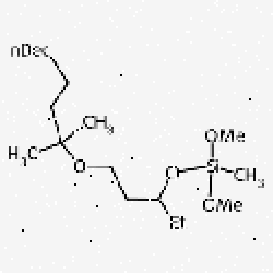 CCCCCCCCCCCCC(C)(C)OCCC(CC)O[Si](C)(OC)OC